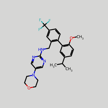 COc1ccc(C(C)C)cc1-c1ccc(C(F)(F)F)cc1CNc1ncc(N2CCOCC2)cn1